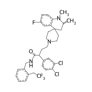 C=C1CC2(CCN(CCC(C(=O)NCc3ccccc3CC(F)(F)F)c3ccc(Cl)c(Cl)c3)CC2)c2cc(F)ccc2N1C